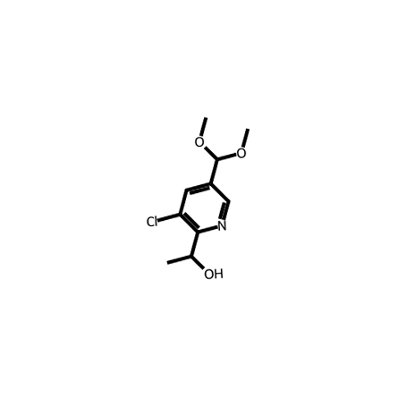 COC(OC)c1cnc(C(C)O)c(Cl)c1